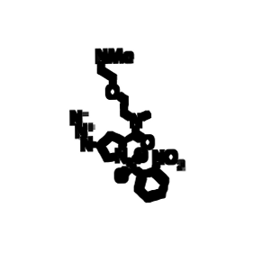 CNCCOCCN(C)C(=O)[C@@H]1C[C@H](N=[N+]=[N-])CN1S(=O)(=O)c1ccccc1[N+](=O)[O-]